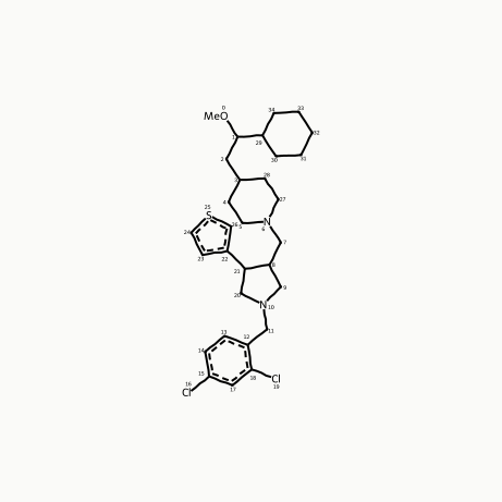 COC(CC1CCN(CC2CN(Cc3ccc(Cl)cc3Cl)CC2c2ccsc2)CC1)C1CCCCC1